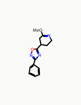 COC1=NCCC(c2nc(-c3ccccc3)no2)C1